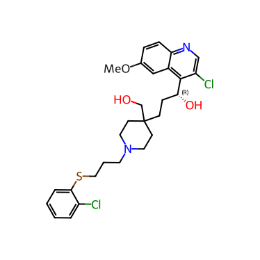 COc1ccc2ncc(Cl)c([C@H](O)CCC3(CO)CCN(CCCSc4ccccc4Cl)CC3)c2c1